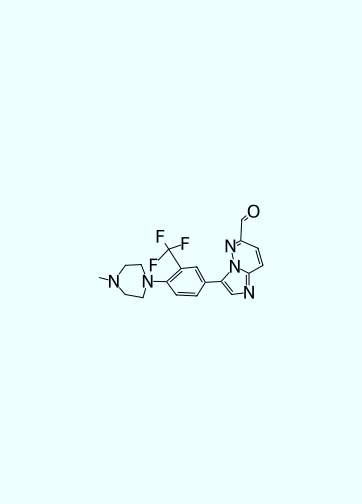 CN1CCN(c2ccc(-c3cnc4ccc(C=O)nn34)cc2C(F)(F)F)CC1